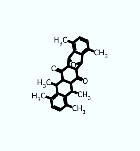 Cc1ccc(C)c2c1C(C)C1C(=O)C3C4OC(c5c(C)ccc(C)c54)C3C(=O)C1C2C